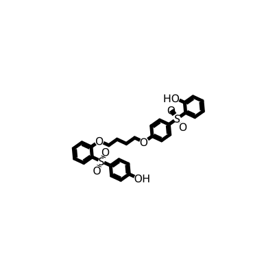 O=S(=O)(c1ccc(OCCCCOc2ccccc2S(=O)(=O)c2ccc(O)cc2)cc1)c1ccccc1O